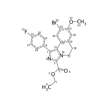 CCOC(=O)c1nc(-c2ccc(F)cc2)c2n1CCc1cc(OC)c(Br)cc1-2